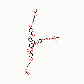 C=CC(=O)OCCCCCCOC1CCC(C(=O)Oc2ccc3c(c2)cc(Oc2ccc(OCCOCCOC(=O)C=C)cc2)c2cc(OC(=O)C4CCC(OCCCCCCOC(C)=O)CC4)ccc23)CC1